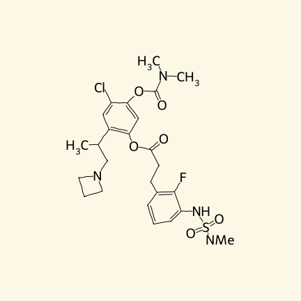 CNS(=O)(=O)Nc1cccc(CCC(=O)Oc2cc(OC(=O)N(C)C)c(Cl)cc2C(C)CN2CCC2)c1F